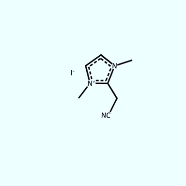 Cn1cc[n+](C)c1CC#N.[I-]